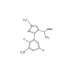 CNC(C)c1cn(C)nc1-c1cc(F)cc([N+](=O)[O-])c1F